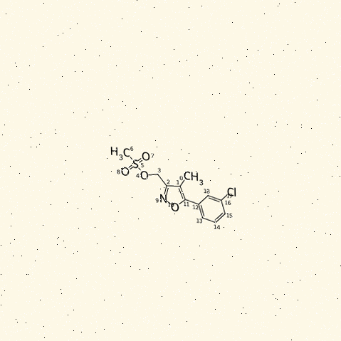 Cc1c(COS(C)(=O)=O)noc1-c1cccc(Cl)c1